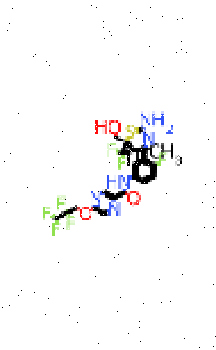 C[C@]1(c2cc(NC(=O)c3cnc(OCC(F)(F)C(F)F)cn3)ccc2F)N=C(N)S[C@]2(CO)[C@@H]1C2(F)F